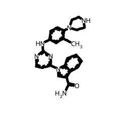 Cc1cc(Nc2nccc(-n3cc(C(N)=O)c4ccccc43)n2)ccc1N1CCNCC1